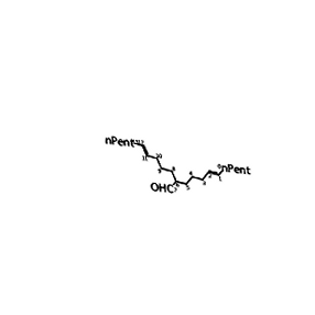 CCCCCC=CCCCC(C=O)CCCC=CCCCCC